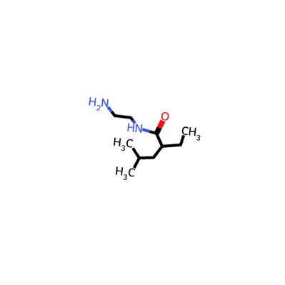 CCC(CC(C)C)C(=O)NCCN